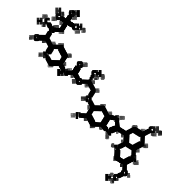 COc1cnc2c(-c3nc4cc(F)c(OC[C@@H](C)OC(=O)Nc5ccc(C(=O)N(C)CC(C)(C)O)nc5)cc4s3)cc(C)cc2n1